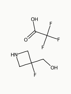 O=C(O)C(F)(F)F.OCC1(F)CNC1